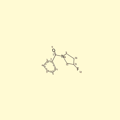 O=C(c1ccccc1)N1CCC(F)C1